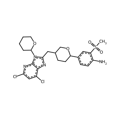 CS(=O)(=O)c1cc(C2CCC(Cc3nc4c(Cl)cc(Cl)nc4n3C3CCCCO3)CO2)ccc1N